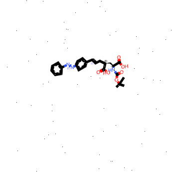 CC(C)(C)OC(=O)N[C@@H](C[C@@H](C/C=C/c1ccc(/N=N/c2ccccc2)cc1)C(=O)O)C(=O)O